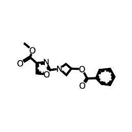 COC(=O)c1coc(N2CC(OC(=O)c3ccccc3)C2)n1